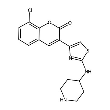 O=c1oc2c(Cl)cccc2cc1-c1csc(NC2CCNCC2)n1